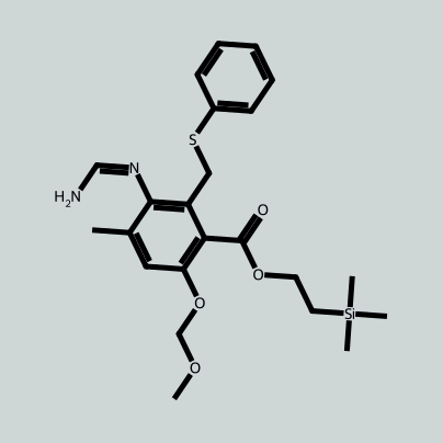 COCOc1cc(C)c(/N=C\N)c(CSc2ccccc2)c1C(=O)OCC[Si](C)(C)C